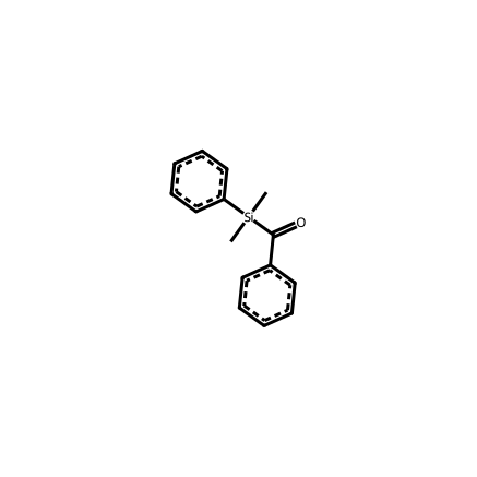 C[Si](C)(C(=O)c1ccccc1)c1ccccc1